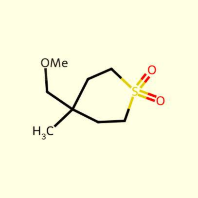 COCC1(C)CCS(=O)(=O)CC1